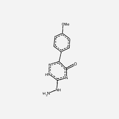 COc1ccc(-c2n[nH]c(NN)nc2=O)cc1